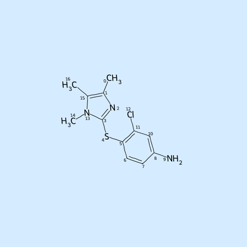 Cc1nc(Sc2ccc(N)cc2Cl)n(C)c1C